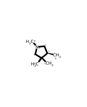 C[C@@H]1CN(C)CC1(C)C